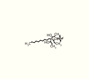 CCCCCCCCCC[P+](C(O)CC)(C(O)CC)C(O)CC.F[B-](F)(F)F